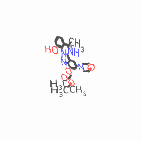 C[C@@H](Nc1ncnc2c(OCC(=O)OC(C)(C)C)cc(N3CCOCC3)cc12)c1cccc(O)c1